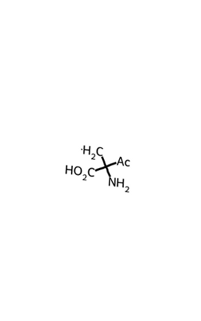 [CH2]C(N)(C(C)=O)C(=O)O